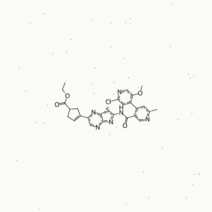 CCOC(=O)C1CC=C(c2cnc3nc(NC(=O)c4cnc(C)cc4-c4cc(Cl)ncc4OC)sc3n2)C1